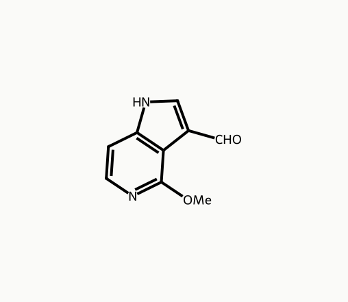 COc1nccc2[nH]cc(C=O)c12